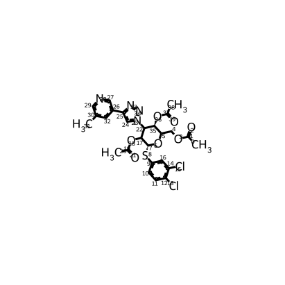 CC(=O)OCC1O[C@H](Sc2ccc(Cl)c(Cl)c2)C(OC(C)=O)C(n2cc(-c3cncc(C)c3)nn2)[C@H]1OC(C)=O